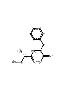 COC(=O)[C@H](Cc1ccccc1)NC(=O)[C@@H](N)CO